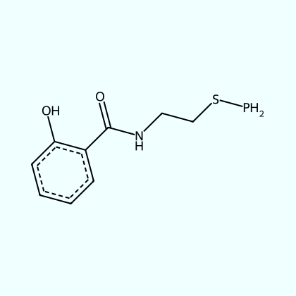 O=C(NCCSP)c1ccccc1O